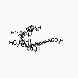 CCCC[C@H](NC(=O)CC[C@H](NC(=O)CC[C@H](NC(=O)CC[C@H](NC(=O)CCCCCCCCCCCCC(=O)O)C(=O)O)C(=O)O)C(=O)O)C(=O)O